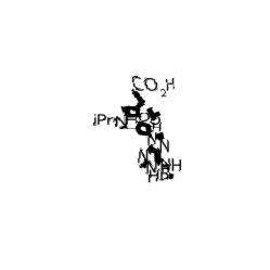 CBNc1ncnc2c1ncn2[C@@H]1C[C@H](CN(C(C)C)C2CC(CCC(=O)O)C2)[C@H]2OC(C)(C)O[C@H]21